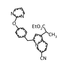 CCOC(=O)C(C)c1cc(Cc2ccc(Oc3ncccn3)cc2)n2cc(C#N)ccc12